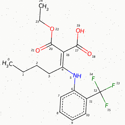 CCCCC(Nc1ccccc1C(F)(F)F)=C(C(=O)O)C(=O)OCC